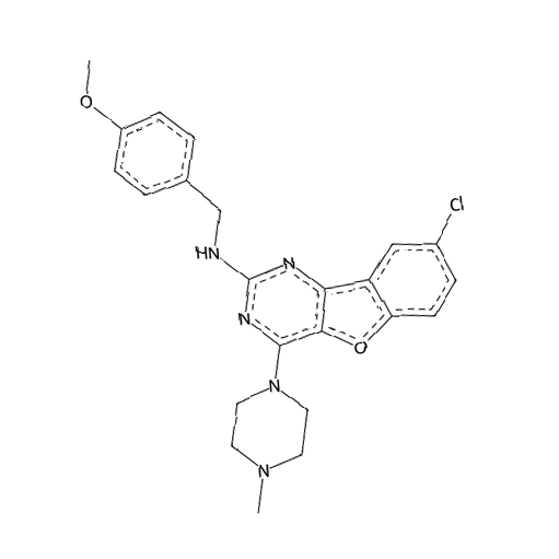 COc1ccc(CNc2nc(N3CCN(C)CC3)c3oc4ccc(Cl)cc4c3n2)cc1